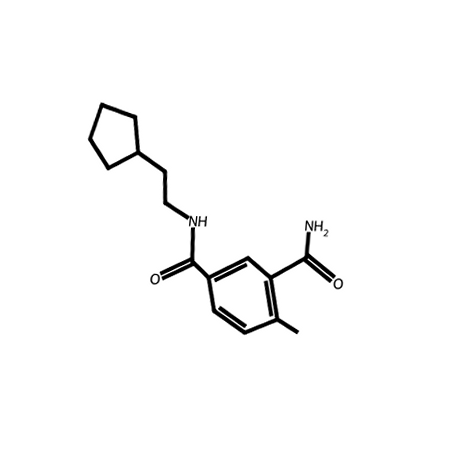 Cc1ccc(C(=O)NCCC2CCCC2)cc1C(N)=O